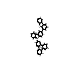 c1ccc2c(c1)oc1c(-c3ccc4c(c3)c3ccccc3n4-c3ccc4c5ccccc5c5ccccc5c4c3)cccc12